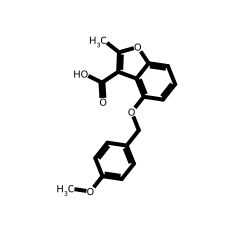 COc1ccc(COc2cccc3oc(C)c(C(=O)O)c23)cc1